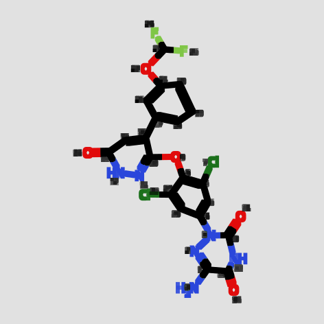 Nc1nn(-c2cc(Cl)c(Oc3n[nH]c(=O)cc3-c3cccc(OC(F)F)c3)c(Cl)c2)c(=O)[nH]c1=O